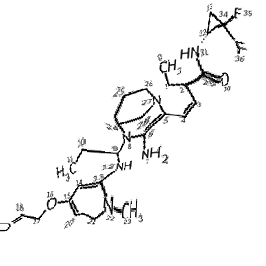 CCC(/C=C\C1=C(N)N(C(CC)NC2=CC(OCC=O)=CCN2C)C2CCN1C2)C(=O)N[C@@H]1CC1(F)F